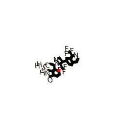 C/C=C(\c1cccc2c1C(C)NC2=O)N1N=CC(c2ccc3ccnc(C(F)(F)F)c3c2)C1C(F)(F)F